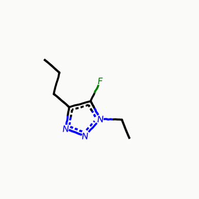 CCCc1nnn(CC)c1F